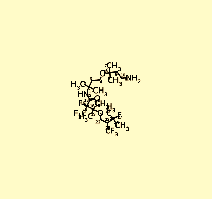 CC(C)(CCOC(C)(C)CCN)NC(=O)C(F)(C(F)(F)F)C(C)(C)OCC(C(C)(C)F)C(F)(F)F